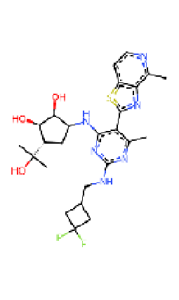 Cc1nc(NCC2CC(F)(F)C2)nc(NC2C[C@H](C(C)(C)O)[C@@H](O)[C@H]2O)c1-c1nc2c(C)nccc2s1